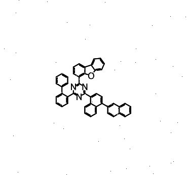 c1ccc(-c2ccccc2-c2nc(-c3ccc(-c4ccc5ccccc5c4)c4ccccc34)nc(-c3cccc4c3oc3ccccc34)n2)cc1